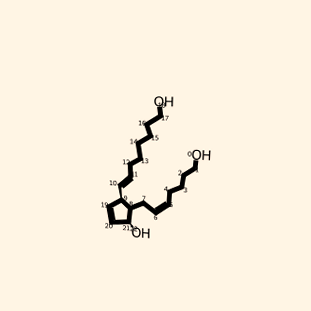 OCCCC/C=C\CC1[C@H](C=CCCCCCCO)C=C[C@H]1O